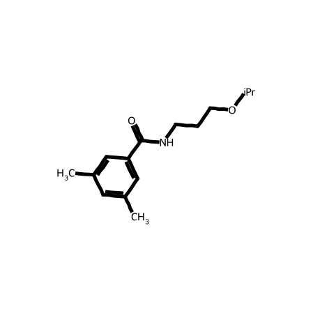 Cc1cc(C)cc(C(=O)NCCCOC(C)C)c1